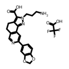 NCCCn1nc2c(c1C(=O)O)CCc1cnc(-c3ccc4c(c3)OCO4)cc1-2.O=C(O)C(F)(F)F